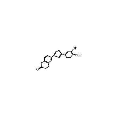 CCCCc1ccc(C2=CC(c3ccc4c(c3)CCC(=O)C4)=CC2)cc1O